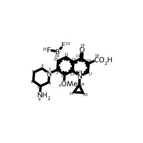 COc1c(N2CCCC(N)C2)ccc2c(=O)c(C(=O)O)cn(C3CC3)c12.F[B]F